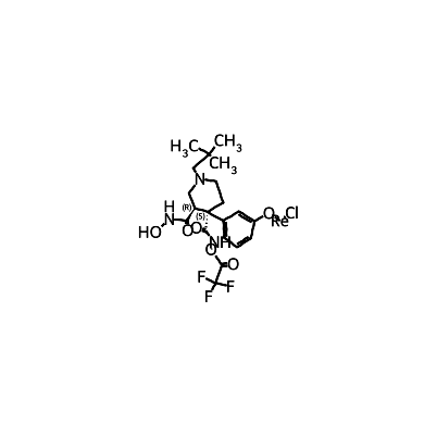 CC(C)(C)CN1CC[C@@](C(=O)NOC(=O)C(F)(F)F)(c2cccc([O][Re][Cl])c2)[C@@H](C(=O)NO)C1